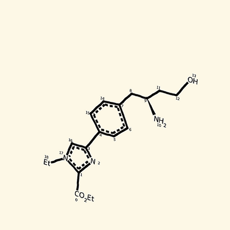 CCOC(=O)c1nc(-c2ccc(C[C@H](N)CCO)cc2)cn1CC